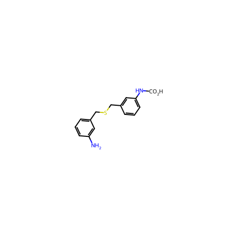 Nc1cccc(CSCc2cccc(NC(=O)O)c2)c1